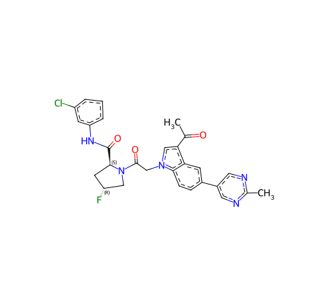 CC(=O)c1cn(CC(=O)N2C[C@H](F)C[C@H]2C(=O)Nc2cccc(Cl)c2)c2ccc(-c3cnc(C)nc3)cc12